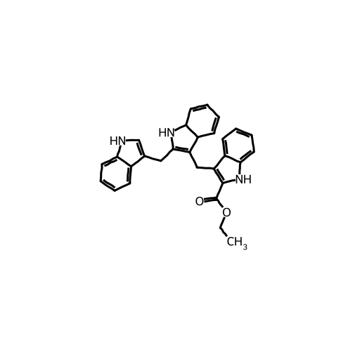 CCOC(=O)c1[nH]c2ccccc2c1CC1=C(Cc2c[nH]c3ccccc23)NC2C=CC=CC12